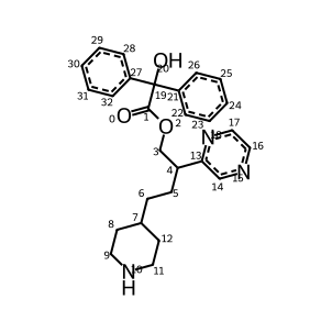 O=C(OCC(CCC1CCNCC1)c1cnccn1)C(O)(c1ccccc1)c1ccccc1